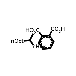 CCCCCCCCC(C)CCCCCC.O=C(O)c1ccccc1C(=O)O